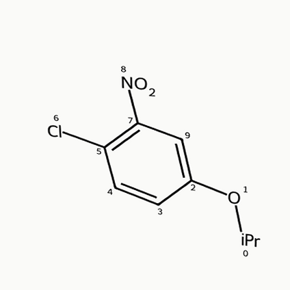 CC(C)Oc1ccc(Cl)c([N+](=O)[O-])c1